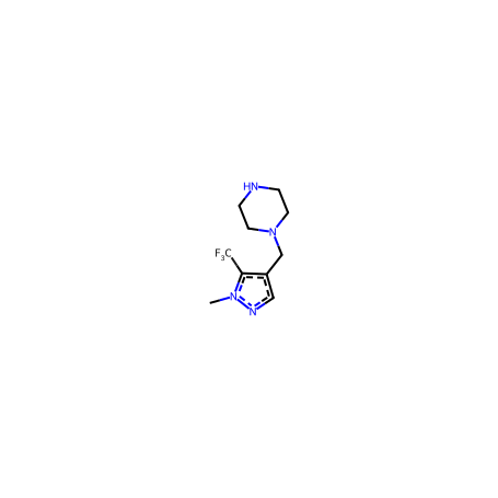 Cn1ncc(CN2CCNCC2)c1C(F)(F)F